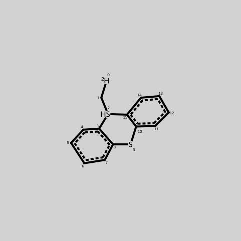 [2H]C[SH]1c2ccccc2Sc2ccccc21